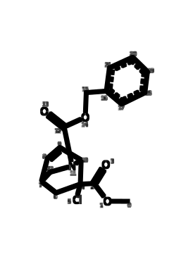 COC(=O)C1(Cl)CC2C=CC1N(C(=O)OCc1ccccc1)C2